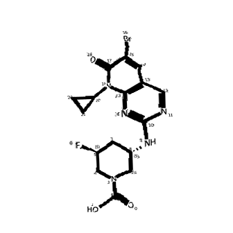 O=C(O)N1C[C@@H](F)C[C@H](Nc2ncc3cc(Br)c(=O)n(C4CC4)c3n2)C1